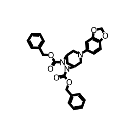 O=C(OCc1ccccc1)N1C2CC(CN(c3ccc4c(c3)OCO4)C2)N1C(=O)OCc1ccccc1